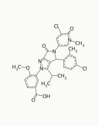 COc1ccc(C(=O)O)cc1-n1nc2c(c1C(C)C)C(c1ccc(Cl)cc1C)N(c1cc(Cl)c(=O)n(C)c1)C2=O